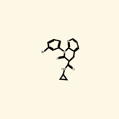 O=C(NC1CC1)C1Cc2cccnc2N(c2cccc(Br)c2)C1=O